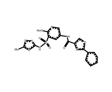 COc1ncc(NC(=O)c2coc(-c3ccccc3)n2)cc1S(=O)(=O)Nc1nc(C(C)(C)C)ns1